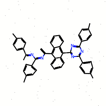 C=C(/N=C(\N=C(/C)c1ccc(C)cc1)c1ccc(C)cc1)c1c2ccccc2c(-c2nc(-c3ccc(C)cc3)nc(-c3ccc(C)cc3)n2)c2ccccc12